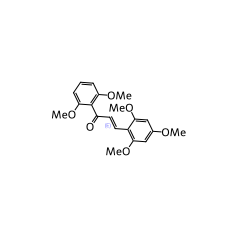 COc1cc(OC)c(/C=C/C(=O)c2c(OC)cccc2OC)c(OC)c1